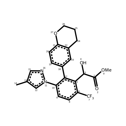 COC(=O)C(O)c1c(C(F)(F)F)ccc(-n2cc(C)cn2)c1-c1ccc2c(c1)CCCO2